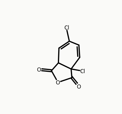 O=C1OC(=O)C2(Cl)C=CC(Cl)=CC12